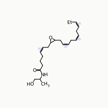 CC/C=C\C/C=C\C/C=C\CC1OC1C/C=C\CCCC(=O)NC(C)CO